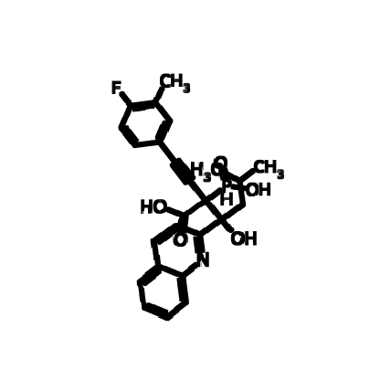 Cc1cc(C#CC(C(=O)O)([PH](=O)O)C(O)(CC(C)C)c2ccc3ccccc3n2)ccc1F